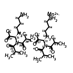 CC(C)C(=O)N(C(=O)C(C)C)[C@@H](CCCCN)C(=O)[O-].CC(C)C(=O)N(C(=O)C(C)C)[C@@H](CCCCN)C(=O)[O-].[Mn+2]